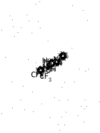 O=C(Nc1ccc(Cl)c(C(F)(F)F)c1)N1[C@H]2CC[C@@H]1c1cnc(-c3ccccc3)nc1C2